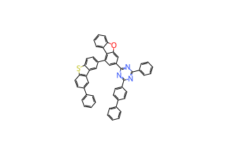 c1ccc(-c2ccc(-c3nc(-c4ccccc4)nc(-c4cc(-c5ccc6sc7ccc(-c8ccccc8)cc7c6c5)c5c(c4)oc4ccccc45)n3)cc2)cc1